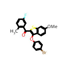 COc1ccc2c(Oc3ccc(Br)cc3)c(C(=O)c3cc(F)ccc3C)sc2c1